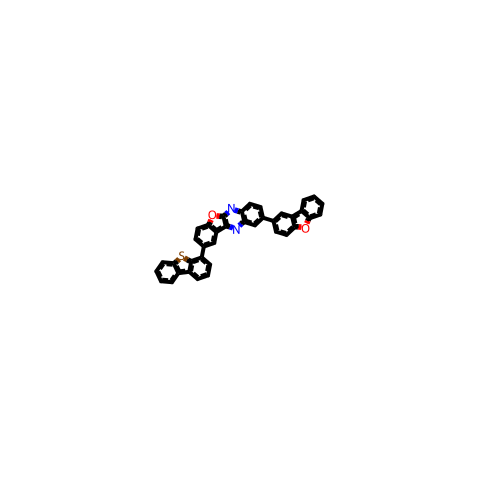 c1ccc2c(c1)oc1ccc(-c3ccc4nc5oc6ccc(-c7cccc8c7sc7ccccc78)cc6c5nc4c3)cc12